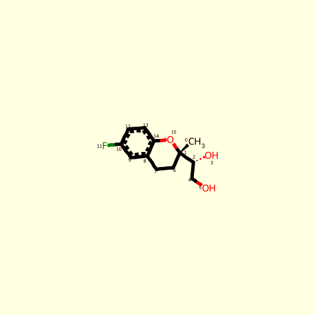 C[C@@]1([C@H](O)CO)CCc2cc(F)ccc2O1